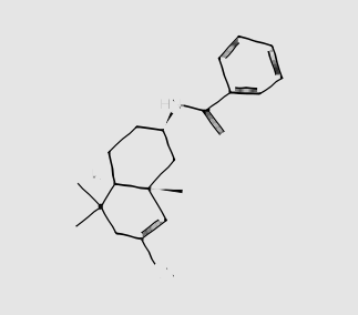 CC1(C)CC(C#N)=C[C@@]2(C)C[C@H](NC(=O)c3ccccc3)CC[C@H]12